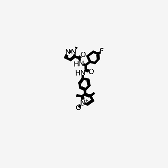 Cc1cc[n+]([O-])c(C)c1-c1ccc(NC(=O)C(NC(=O)c2ccnn2C)C2CC=C(F)CC2)cc1